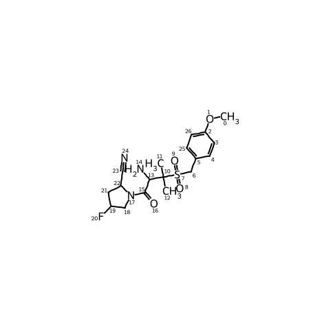 COc1ccc(CS(=O)(=O)C(C)(C)C(N)C(=O)N2CC(F)CC2C#N)cc1